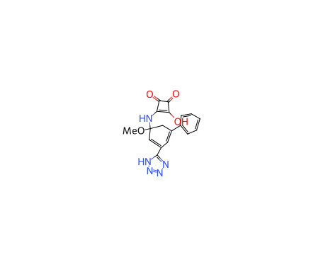 COC1(Nc2c(O)c(=O)c2=O)C=C(c2nnn[nH]2)C=C(c2ccccc2)C1